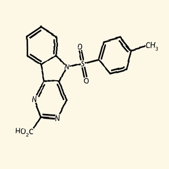 Cc1ccc(S(=O)(=O)n2c3ccccc3c3nc(C(=O)O)ncc32)cc1